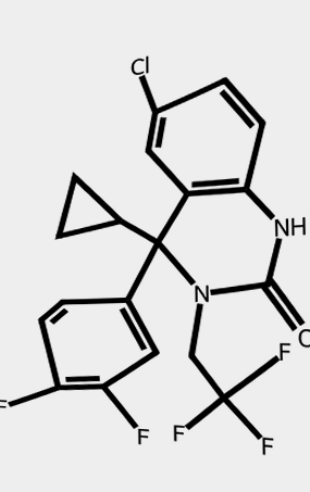 O=C1Nc2ccc(Cl)cc2C(c2ccc(F)c(F)c2)(C2CC2)N1CC(F)(F)F